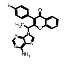 CC(c1oc2ccccc2c(=O)c1-c1ccc(F)cc1)n1cnc2c(N)ncnc21